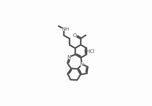 CNCCCC1C2=C(C=CC1C(C)=O)n1ccc3c1C(=CCC3)C=N2.Cl